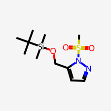 CC(C)(C)[Si](C)(C)OCc1ccnn1S(C)(=O)=O